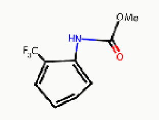 [CH2]OC(=O)Nc1ccccc1C(F)(F)F